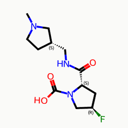 CN1CC[C@@H](CNC(=O)[C@@H]2C[C@@H](F)CN2C(=O)O)C1